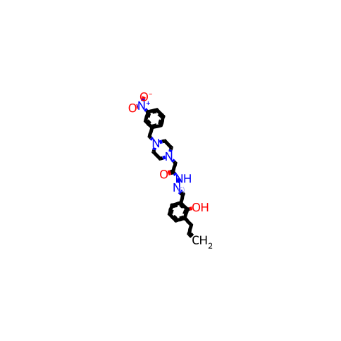 C=CCc1cccc(/C=N/NC(=O)CN2CCN(Cc3cccc([N+](=O)[O-])c3)CC2)c1O